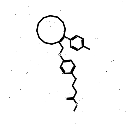 COC(=O)CCCc1ccc(OCC2=C(c3ccc(C)cc3)CCCCCCCCCC2)cc1